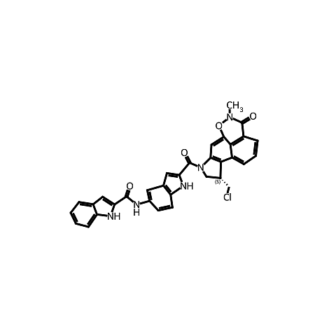 CN1Oc2cc3c(c4cccc(c24)C1=O)[C@H](CCl)CN3C(=O)c1cc2cc(NC(=O)c3cc4ccccc4[nH]3)ccc2[nH]1